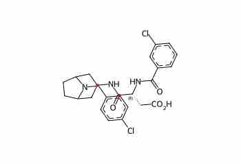 O=C(O)C[C@@H](NC(=O)c1cccc(Cl)c1)C(=O)NC1CC2CCC(C1)N2Cc1ccc(Cl)cc1